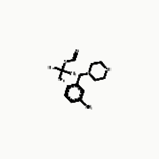 CC(C)(C)OC=O.Nc1cccc(CN2CCNCC2)c1